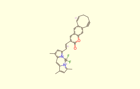 CC1=CC(C)=[N+]2C1=Cc1c(C)cc(/C=C/c3cc4cc5c(cc4oc3=O)C#CCC/C=C\5)n1[B-]2(F)F